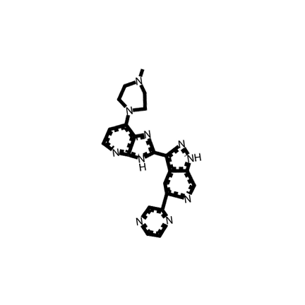 CN1CCN(c2ccnc3[nH]c(-c4n[nH]c5cnc(-c6cnccn6)cc45)nc23)CC1